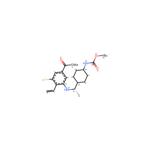 C=Cc1c(F)cc(C(=O)OC)cc1N[C@@H](C)C1CCC(NC(=O)OC(C)(C)C)CC1